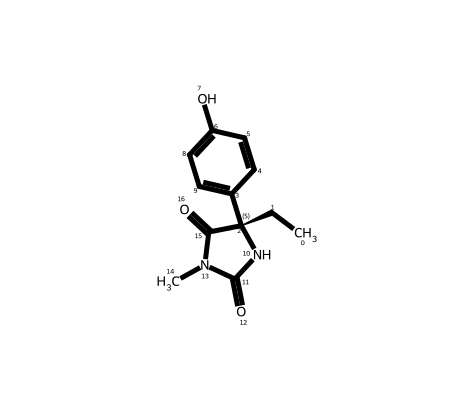 CC[C@@]1(c2ccc(O)cc2)NC(=O)N(C)C1=O